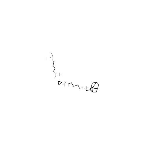 CCNCCCCNC[C@H]1C[C@@H]1CNCCCCNCC1C2CC3CC(C2)CC1C3